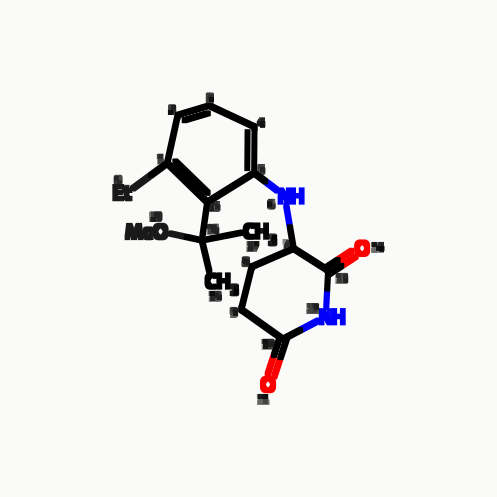 CCc1cccc(NC2CCC(=O)NC2=O)c1C(C)(C)OC